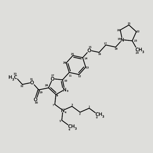 CCCCN(CC)Cc1nc(-c2ccc(OCCCN3CCCC3C)cc2)oc1C(=O)OCC